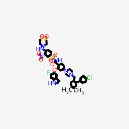 CC1(C)CCC(CN2CCN(c3ccc(C(=O)NS(=O)(=O)c4ccc(NN5CCS(=O)(=O)CC5)c([N+](=O)[O-])c4)c(Oc4cc5cc[nH]c5cc4F)c3)CC2)=C(c2ccc(Cl)cc2)C1